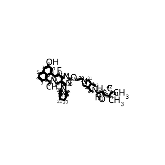 CCc1cccc2cc(O)cc(-c3ncc4c(N5CC6CCC(C5)N6)nc(OCCN5CC6CN(c7cc(C(C)C(C)C)on7)CC6C5)nc4c3F)c12